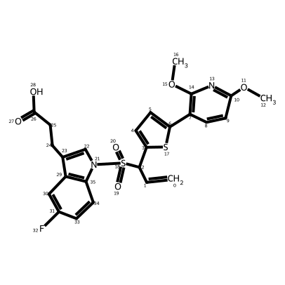 C=CC(c1ccc(-c2ccc(OC)nc2OC)s1)S(=O)(=O)n1cc(CCC(=O)O)c2cc(F)ccc21